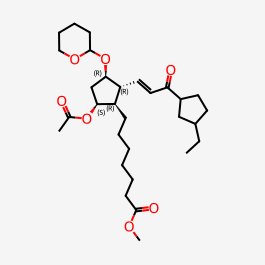 CCC1CCC(C(=O)C=C[C@@H]2[C@@H](CCCCCCC(=O)OC)[C@@H](OC(C)=O)C[C@H]2OC2CCCCO2)C1